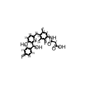 Cc1cc(NC(=O)CC(=O)O)c(F)c(C)c1Cc1ccc(O)c(C(O)c2ccc(F)cc2)n1